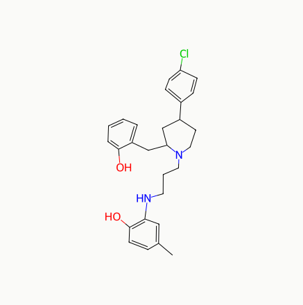 Cc1ccc(O)c(NCCCN2CCC(c3ccc(Cl)cc3)CC2Cc2ccccc2O)c1